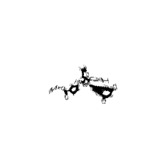 COC(=O)[C@@H]1CC[C@H](NC(=O)C2(C(O)Nc3cc(Cl)cc(Cl)c3)CCCO2)C1